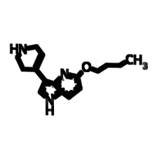 CCCCOc1ccc2[nH]cc(C3=CCNCC3)c2n1